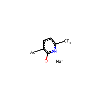 CC(=O)c1ccc(C(F)(F)F)nc1[O-].[Na+]